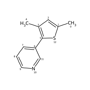 Cc1cc(C)c(-c2cccnc2)s1